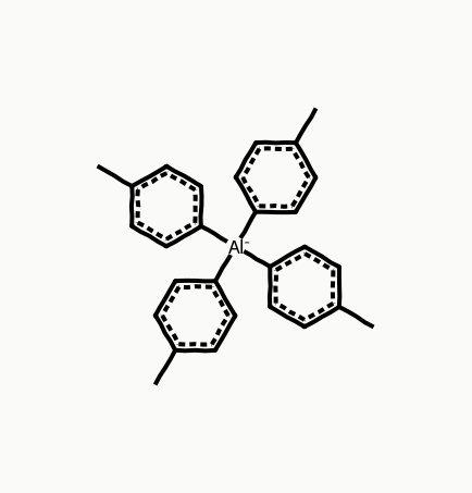 Cc1cc[c]([Al-]([c]2ccc(C)cc2)([c]2ccc(C)cc2)[c]2ccc(C)cc2)cc1